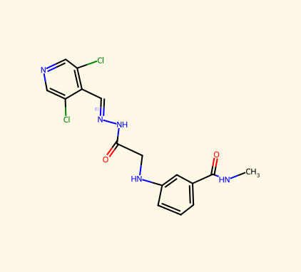 CNC(=O)c1cccc(NCC(=O)N/N=C/c2c(Cl)cncc2Cl)c1